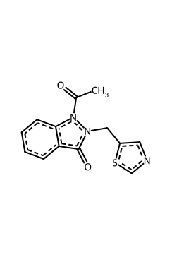 CC(=O)n1c2ccccc2c(=O)n1Cc1cncs1